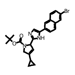 CC(C)(C)OC(=O)N1CC(C2CC2)=CC1c1ncc(-c2ccc3cc(Br)ccc3c2)[nH]1